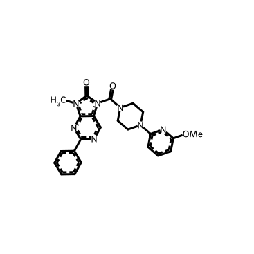 COc1cccc(N2CCN(C(=O)n3c(=O)n(C)c4nc(-c5ccccc5)ncc43)CC2)n1